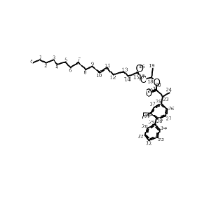 CCCCCCCCCCCCCCCC(=O)OC(C)OC(=O)C(C)c1ccc(-c2ccccc2)c(F)c1